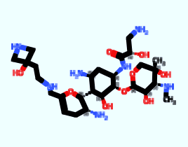 CN[C@@H]1[C@@H](O)[C@@H](O[C@H]2[C@H](NC(=O)[C@@H](O)CN)C[C@H](N)C([C@H]3OC(CNCCC4(O)CNC4)=CC[C@H]3N)[C@@H]2O)OC[C@]1(C)O